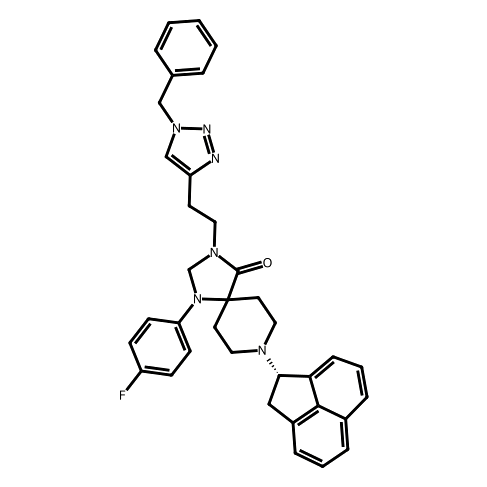 O=C1N(CCc2cn(Cc3ccccc3)nn2)CN(c2ccc(F)cc2)C12CCN([C@H]1Cc3cccc4cccc1c34)CC2